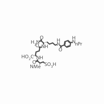 CCCNc1ccc(C(=O)NCCCC[C@H](NC(=O)CC[C@H](NC(=O)[C@H](CS(=O)(=O)O)NC)C(=O)O)C(N)=O)cc1